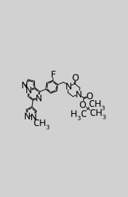 Cn1cc(-c2cn3nccc3c(-c3ccc(CN4CCN(C(=O)OC(C)(C)C)CC4=O)c(F)c3)n2)cn1